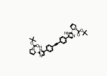 CC(C)(C)OC(=O)N1CC=C[C@H]1c1ncc(-c2ccc(C#Cc3ccc(-c4cnc([C@@H]5C=CCN5C(=O)OC(C)(C)C)[nH]4)cc3)cc2)[nH]1